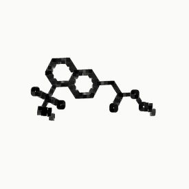 COC(=O)Cc1ccc2c(S(N)(=O)=O)cccc2c1